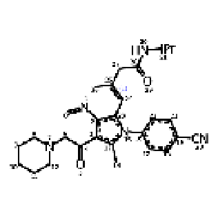 C=Nc1c(C(=O)CN2CCCCC2)c(C)n(-c2ccc(C#N)cc2)c1/C=C(\C)CC(=O)NC(C)C